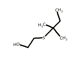 CCC(C)(C)SCCO